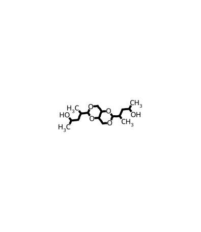 CC(O)CC(C)C1OCC2OC(C(C)CC(C)O)OCC2O1